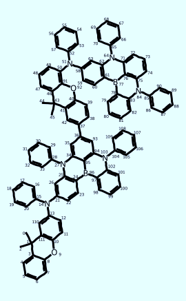 CC1(C)c2ccccc2Oc2ccc(N(c3ccccc3)c3ccc4c(c3)N(c3ccccc3)c3cc(-c5ccc6c(c5)C(C)(C)c5cccc(N(c7ccccc7)c7ccc8c(c7)N(c7ccccc7)c7cccc9c7B8c7ccccc7N9c7ccccc7)c5O6)cc5c3B4c3ccccc3N5c3ccccc3)cc21